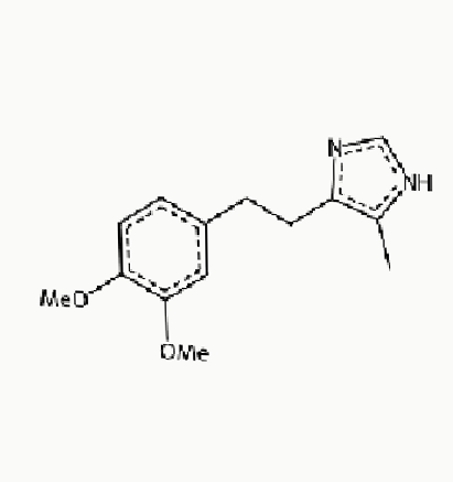 COc1ccc(CCc2nc[nH]c2C)cc1OC